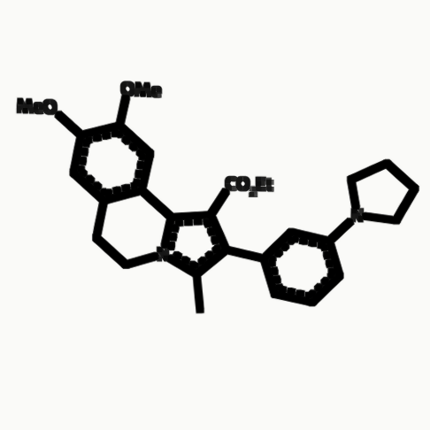 CCOC(=O)c1c(-c2cccc(N3CCCC3)c2)c(C)n2c1-c1cc(OC)c(OC)cc1CC2